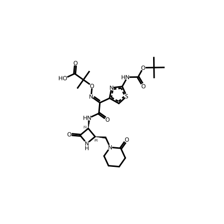 CC(C)(C)OC(=O)Nc1nc(C(=NOC(C)(C)C(=O)O)C(=O)N[C@@H]2C(=O)N[C@@H]2CN2CCCCC2=O)cs1